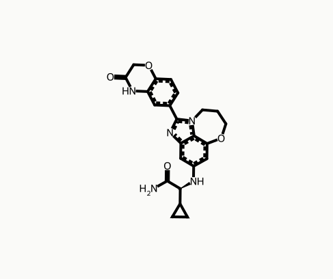 NC(=O)[C@@H](Nc1cc2c3c(c1)nc(-c1ccc4c(c1)NC(=O)CO4)n3CCCO2)C1CC1